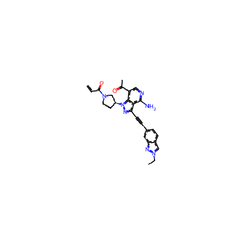 C=CC(=O)N1CC[C@H](n2nc(C#Cc3ccc4cn(CC)nc4c3)c3c(N)ncc(C(C)=O)c32)C1